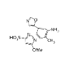 COc1cc(S(=O)(=O)O)ncn1.Cc1ccc(-c2cnco2)cc1N